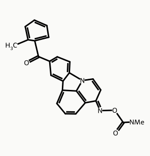 CNC(=O)O/N=c1\ccn2c3ccc(C(=O)c4ccccc4C)cc3c3cccc1c32